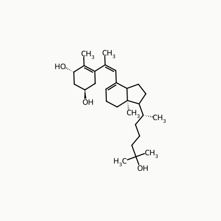 CC1=C(/C(C)=C\C2=CCC[C@@]3(C)C2CCC3[C@H](C)CCCC(C)(C)O)C[C@@H](O)C[C@@H]1O